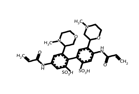 C=CC(=O)Nc1cc(C2COCCN2C)c(-c2cc(C3CN(C)CCO3)c(NC(=O)C=C)cc2S(=O)(=O)O)c(S(=O)(=O)O)c1